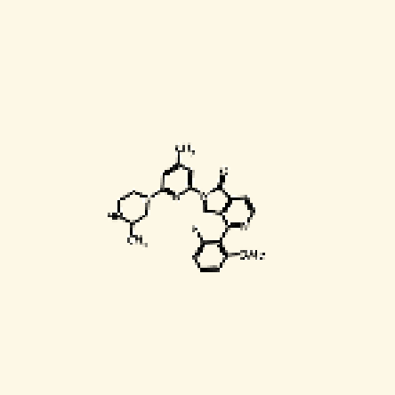 COc1cccc(F)c1-c1nccc2c1CN(c1cc(C)cc(N3CCNC(C)C3)n1)C2=O